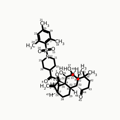 C=C1C(=O)[C@]23[C@H](OC(=O)C4CCN(S(=O)(=O)c5c(C)cc(C)cc5C)CC4)[C@H]1CC[C@H]2[C@@]12CO[C@]3(O)[C@@H](O)[C@@H]1C(C)(C)CCC2=O